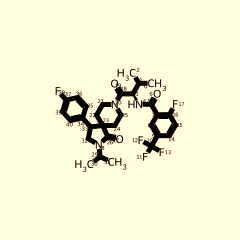 CC(C)[C@@H](NC(=O)c1cc(C(F)(F)F)ccc1F)C(=O)N1CCC2(CC1)C(=O)N(C(C)C)CC2c1ccc(F)cc1